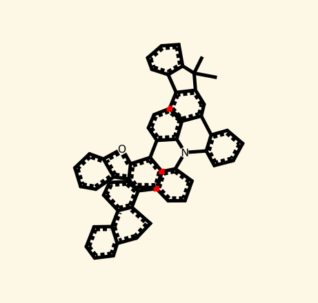 CC1(C)c2ccccc2-c2ccc(-c3ccccc3N(c3cccc(-c4cccc5c4ccc4ccccc45)c3)c3ccccc3-c3cccc4c3oc3ccccc34)cc21